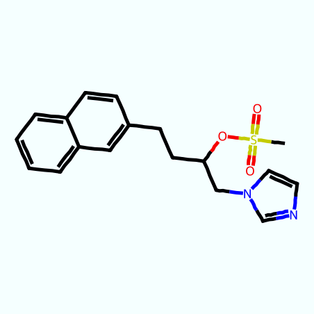 CS(=O)(=O)OC(CCc1ccc2ccccc2c1)Cn1ccnc1